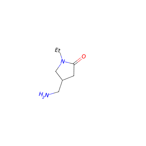 CCN1CC(CN)CC1=O